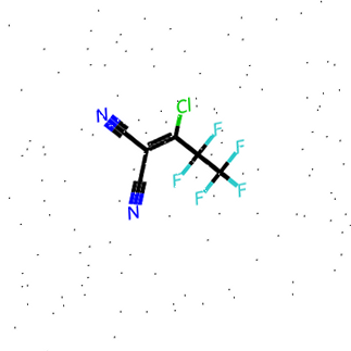 N#CC(C#N)=C(Cl)C(F)(F)C(F)(F)F